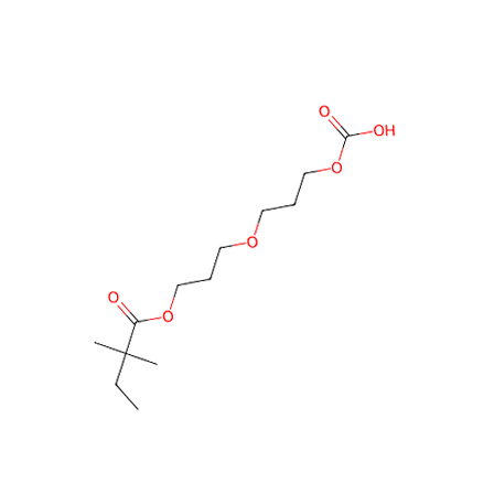 CCC(C)(C)C(=O)OCCCOCCCOC(=O)O